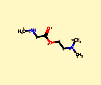 CNCC(=O)OCCN(C)C